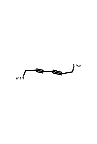 CNCC#CC#CCNC